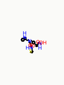 O=C(NCc1cccs1)OCCN(CCc1c[nH]c2ccccc12)Cc1ccc(C2C#CC2C(=O)NO)cc1